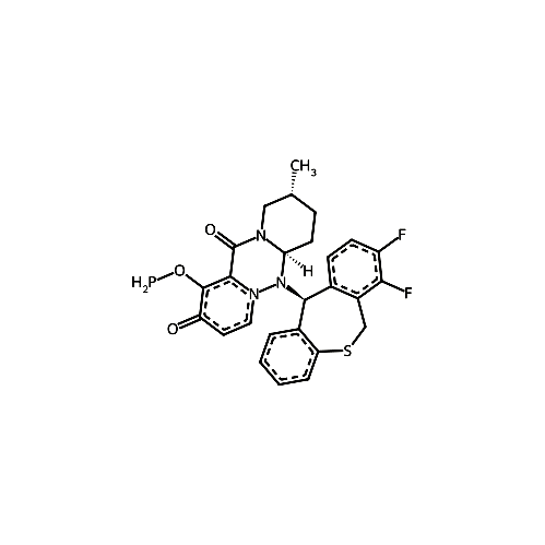 C[C@@H]1CC[C@@H]2N(C1)C(=O)c1c(OP)c(=O)ccn1N2[C@@H]1c2ccccc2SCc2c1ccc(F)c2F